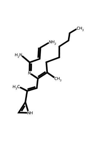 CCCCCC/C(C)=C(/C=C(\C)C1=CN1)\N=C(N)/C=C/N